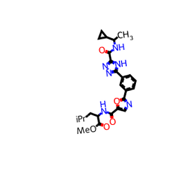 COC(=O)C(CC(C)C)NC(=O)c1cnc(-c2cccc(-c3nnc(C(=O)NC(C)C4CC4)[nH]3)c2)o1